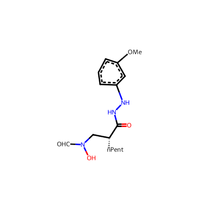 CCCCC[C@H](CN(O)C=O)C(=O)NNc1cccc(OC)c1